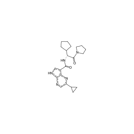 O=C(N[C@@H](C(=O)N1CCCC1)C1CCCC1)c1c[nH]c2ncc(C3CC3)nc12